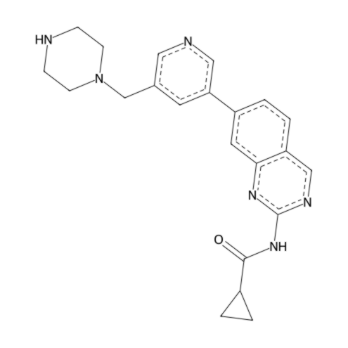 O=C(Nc1ncc2ccc(-c3cncc(CN4CCNCC4)c3)cc2n1)C1CC1